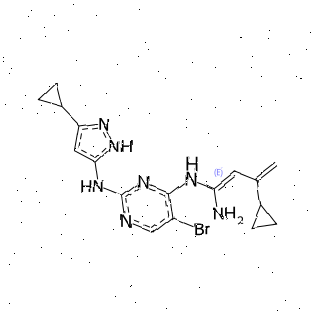 C=C(/C=C(\N)Nc1nc(Nc2cc(C3CC3)n[nH]2)ncc1Br)C1CC1